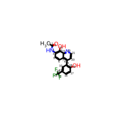 CC(=O)Nc1ccc2c(-c3cc(C(F)(F)F)ccc3O)ccnc2c1O